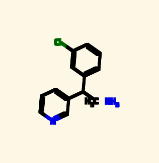 CC(c1cccnc1)c1cccc(Cl)c1.N